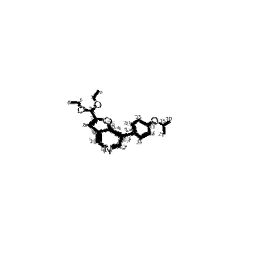 CCOC(OCC)c1cc2cncc(-c3ccc(OC(C)C)cc3)c2o1